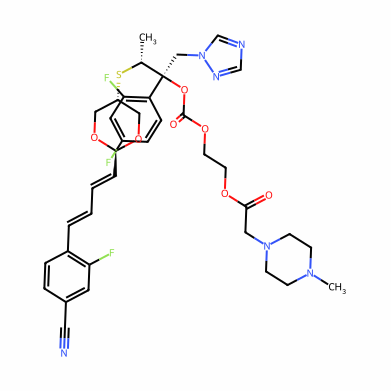 C[C@@H](S[C@H]1CO[C@H](/C=C/C=C/c2ccc(C#N)cc2F)OC1)[C@@](Cn1cncn1)(OC(=O)OCCOC(=O)CN1CCN(C)CC1)c1ccc(F)cc1F